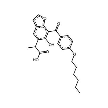 CCCCCCOc1ccc(C(=O)c2c(O)c(C(C)C(=O)O)cc3ccoc23)cc1